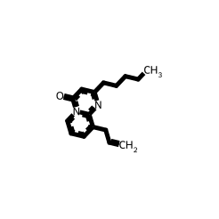 C=CCc1cccn2c(=O)cc(CCCCC)nc12